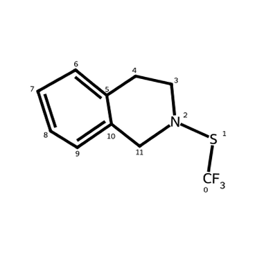 FC(F)(F)SN1CCc2ccccc2C1